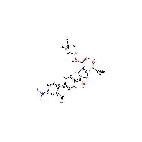 C=Cc1cc(N(C)C)ccc1-c1ccc([C@]2(O)C[C@@H](C(=O)OC)N(C(=O)OCC[Si](C)(C)C)C2)cc1